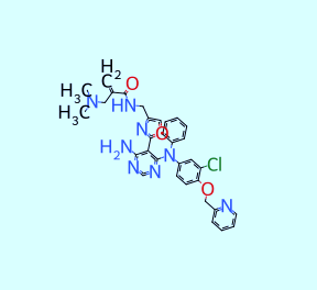 C=C(CN(C)C)C(=O)NCc1coc(-c2c(N)ncnc2N(c2ccccc2)c2ccc(OCc3ccccn3)c(Cl)c2)n1